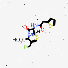 O=C(Cc1cccs1)NC1C(=O)N2C(C(=O)O)C(CF)=CS[C@H]12